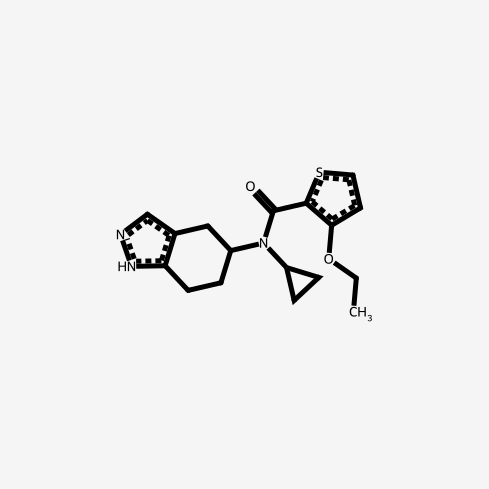 CCOc1ccsc1C(=O)N(C1CC1)C1CCc2[nH]ncc2C1